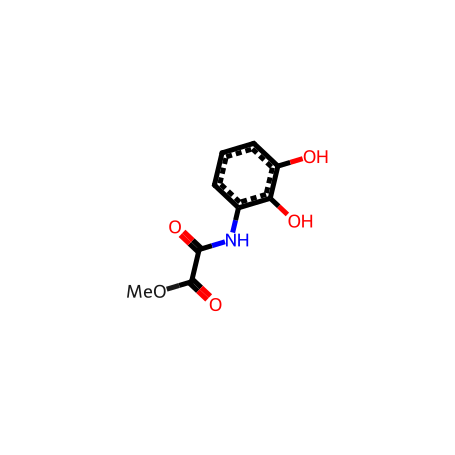 COC(=O)C(=O)Nc1cccc(O)c1O